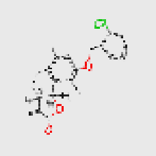 C=C1C(=O)O[C@H]2c3c(C)c(OCc4ccccc4Cl)cc(C)c3CC[C@@H]12